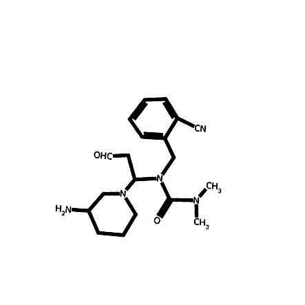 CN(C)C(=O)N(Cc1ccccc1C#N)C(CC=O)N1CCCC(N)C1